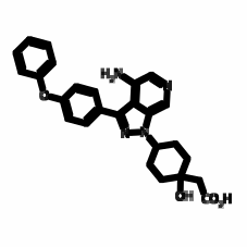 Nc1cncc2c1c(-c1ccc(Oc3ccccc3)cc1)nn2C1CCC(O)(CC(=O)O)CC1